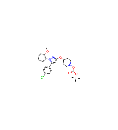 COc1ccccc1-n1nc(OC2CCN(OC(=O)OC(C)(C)C)CC2)cc1-c1ccc(Cl)cc1